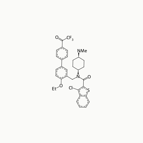 CCOc1ccc(-c2ccc(C(=O)C(F)(F)F)cc2)cc1CN(C(=O)c1sc2ccccc2c1Cl)[C@H]1CC[C@@H](NC)CC1